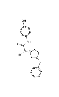 CCN(C(=O)Nc1ccc(O)cc1)[C@@H]1CCN(Cc2ccccc2)C1